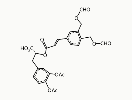 CC(=O)Oc1ccc(C[C@@H](OC(=O)/C=C/c2ccc(COC=O)c(COC=O)c2)C(=O)O)cc1OC(C)=O